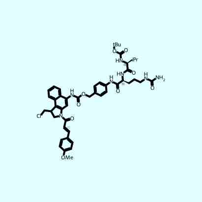 COc1ccc(/C=C/C(=O)N2CC(CCl)c3c2cc(NC(=O)OCc2ccc(NC(=O)[C@H](CCCNC(N)=O)NC(=O)[C@@H](NC(=O)OC(C)(C)C)C(C)C)cc2)c2ccccc32)cc1